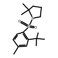 Cc1ccc(S(=O)(=O)N2CCCC2(C)C)c(C(C)(C)C)c1